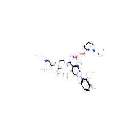 CC(=O)/C=C/C(O)N1CCN(c2nc(OC[C@@H]3CCCN3C)nc3c2CCN(c2cccc(Cl)c2C(F)(F)F)C3)C[C@@H]1CC#N